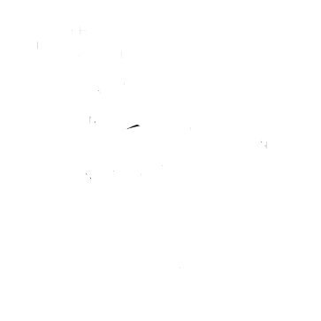 CCCN(Cc1ccc2occc2c1)C(=O)[C@H](CC(=O)OCc1ccccn1)NC(=O)CC(C)(C)C